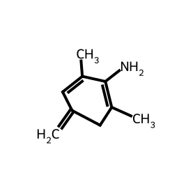 C=C1C=C(C)C(N)=C(C)C1